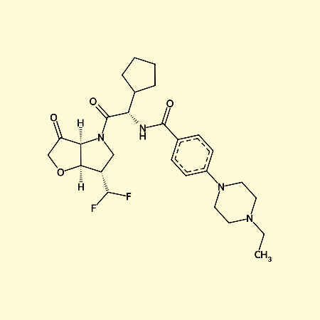 CCN1CCN(c2ccc(C(=O)N[C@H](C(=O)N3C[C@H](C(F)F)[C@H]4OCC(=O)[C@H]43)C3CCCC3)cc2)CC1